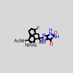 CCC(C)C(Cc1ccccc1F)(c1nc2[nH]c(=O)[nH]c(=O)c2[nH]1)c1ccc(NC(C)=O)cc1NC(C)=O